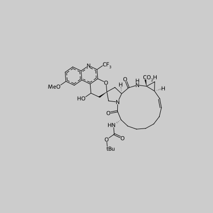 COc1ccc2nc(C(F)(F)F)c3c(c2c1)C(O)C[C@]1(C[C@H]2C(=O)N[C@]4(C(=O)O)C[C@H]4/C=C\CCCCC[C@H](NC(=O)OC(C)(C)C)C(=O)N2C1)O3